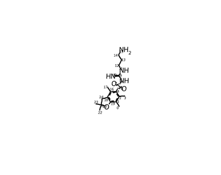 Cc1c(C)c(S(=O)(=O)NC(=N)NCCCN)c(C)c2c1OC(C)(C)C2